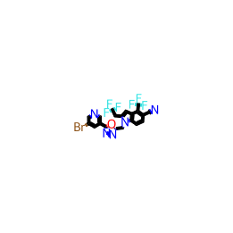 N#Cc1ccc2c(cc(CC(F)(F)F)n2Cc2nnc(-c3cncc(Br)c3)o2)c1C(F)(F)F